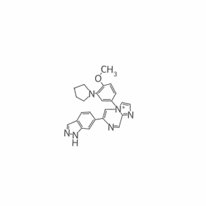 COc1ccc([N+]23C=CN=C2C=NC(c2ccc4cn[nH]c4c2)=C3)cc1N1CCCC1